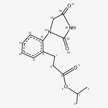 CC(C)OC(=O)CCc1ccccc1N1CC(=O)NC1=O